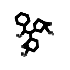 CC(C1CCCCC1)C(C1CCC2OC2(C)C1)C1CCCC2(C)OC12